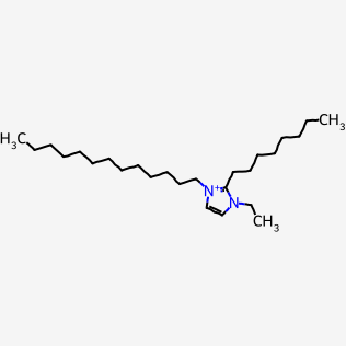 CCCCCCCCCCCCC[n+]1ccn(CC)c1CCCCCCCC